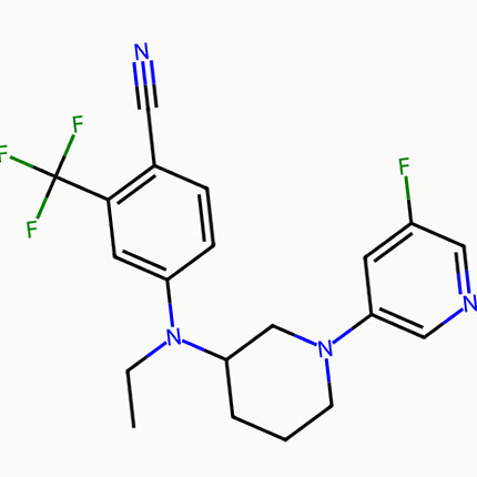 CCN(c1ccc(C#N)c(C(F)(F)F)c1)C1CCCN(c2cncc(F)c2)C1